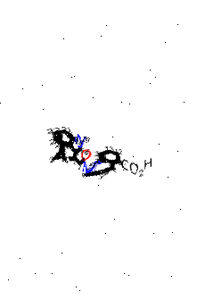 CC(CC(=O)N1CCCC2C(C(=O)O)CCCC21)C1CN(C)c2cccc(C3CC3)c21